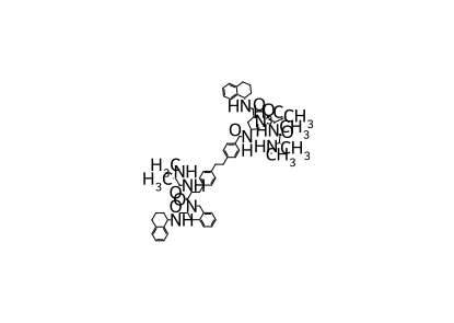 CN[C@@H](C)C(=O)NC(Cc1ccc(CCc2ccc(C(=O)N[C@H]3CC(C(=O)NC4CCCc5ccccc54)N(C(=O)C(NC(=O)[C@H](C)NC)C(C)(C)C)C3)cc2)cc1)C(=O)N1Cc2ccccc2CC1C(=O)NC1CCCc2ccccc21